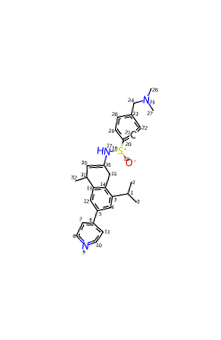 CC(C)c1cc(-c2ccncc2)cc2c1CC(N[S+]([O-])c1ccc(CN(C)C)cc1)=CC2C